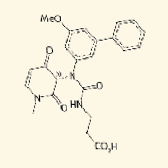 COc1cc(-c2ccccc2)cc(N(C(=O)NCCC(=O)O)[C@H]2C(=O)C=CN(C)C2=O)c1